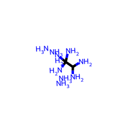 N.N.N.N.NC(N)C(N)(N)N